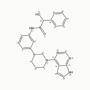 O=C(Nc1cccc(C2CCCN(c3ncnc4[nH]ccc34)C2)c1)C(O)c1ccccc1